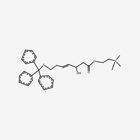 C[Si](C)(C)CCOC(=O)CC(O)C=CCCSC(c1ccccc1)(c1ccccc1)c1ccccc1